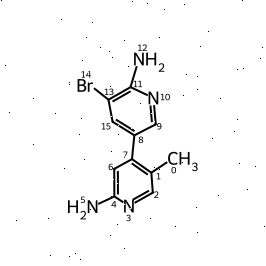 Cc1cnc(N)cc1-c1cnc(N)c(Br)c1